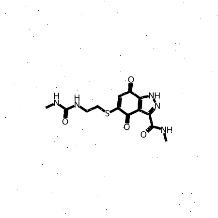 CNC(=O)NCCSC1=CC(=O)c2[nH]nc(C(=O)NC)c2C1=O